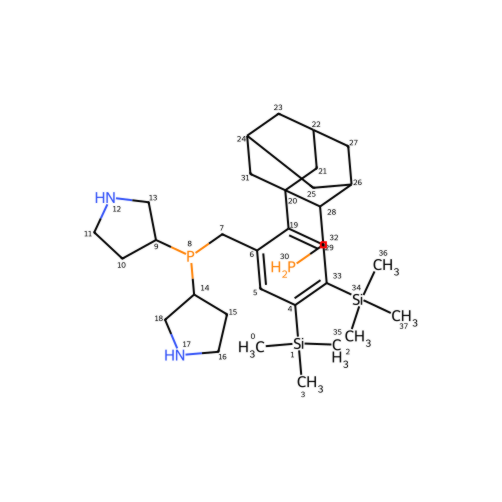 C[Si](C)(C)c1cc(CP(C2CCNC2)C2CCNC2)c(C23CC4CC(CC(C4)C2CP)C3)cc1[Si](C)(C)C